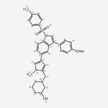 COc1ccc(-c2cn(S(=O)(=O)c3ccc(C)cc3)c3ncc(-c4cc(CN5CCCC(O)C5)n(C)n4)cc23)cn1